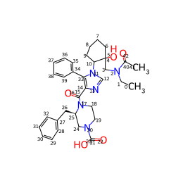 CCN(CC1(O)CCCCC1n1cnc(C(=O)N2CCN(C(=O)O)C[C@H]2Cc2ccccc2)c1-c1ccccc1)C(C)=O